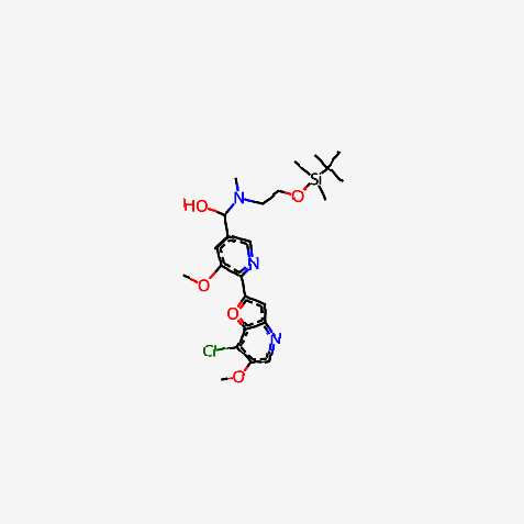 COc1cc(C(O)N(C)CCO[Si](C)(C)C(C)(C)C)cnc1-c1cc2ncc(OC)c(Cl)c2o1